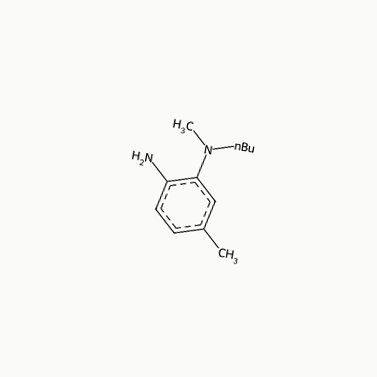 CCCCN(C)c1cc(C)ccc1N